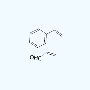 C=CC=O.C=Cc1ccccc1